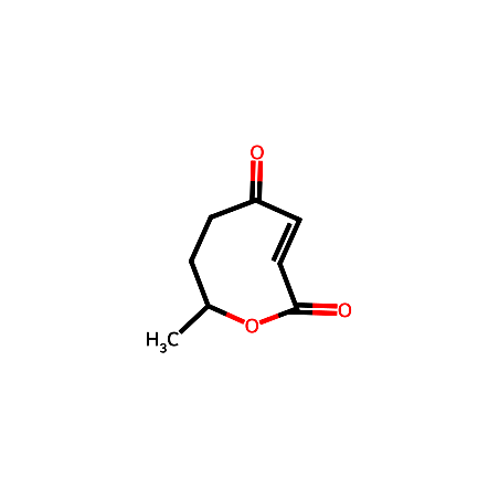 CC1CCC(=O)/C=C/C(=O)O1